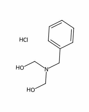 Cl.OCN(CO)Cc1ccccc1